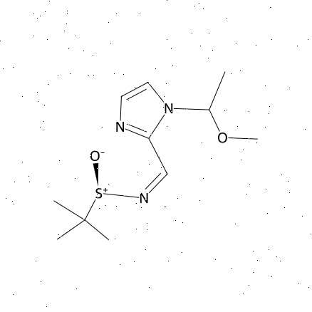 COC(C)n1ccnc1/C=N\[S@+]([O-])C(C)(C)C